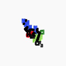 CCS(=O)(=O)c1ccc(-n2cncn2)nc1-c1ncc([C@H](Cl)C(F)(F)C(F)(F)C(F)(F)C(F)(F)F)n1C